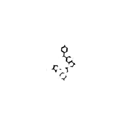 CC1=C(C)C(=O)N(C[C@H]2CNC(C)CN2CC(=O)N2CC(C)(C)c3ncc(C(O)c4ccc(F)cc4)cc32)C1